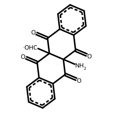 NC12C(=O)c3ccccc3C(=O)C1([C]=O)C(=O)c1ccccc1C2=O